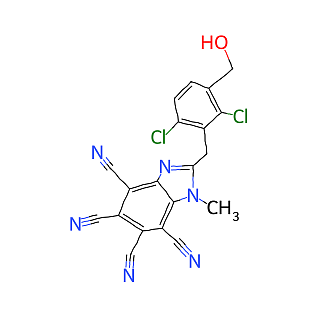 Cn1c(Cc2c(Cl)ccc(CO)c2Cl)nc2c(C#N)c(C#N)c(C#N)c(C#N)c21